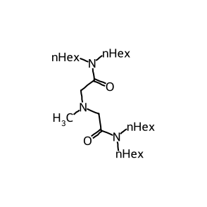 CCCCCCN(CCCCCC)C(=O)CN(C)CC(=O)N(CCCCCC)CCCCCC